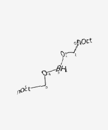 CCCCCCCCCOBOCCCCCCCCC